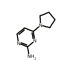 Nc1nccc(N2CCCC2)n1